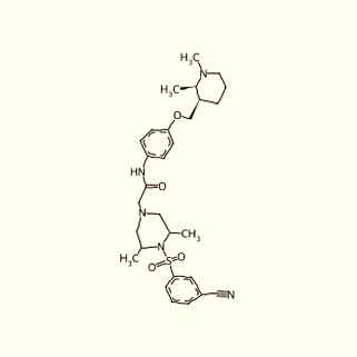 CC1CN(CC(=O)Nc2ccc(OC[C@@H]3CCCN(C)[C@@H]3C)cc2)CC(C)N1S(=O)(=O)c1cccc(C#N)c1